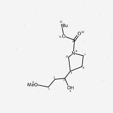 COCCC(O)C1CCN(C(=O)OC(C)(C)C)C1